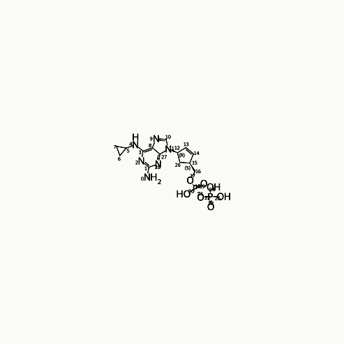 Nc1nc(NC2CC2)c2ncn([C@H]3C=C[C@@H](COP(=O)(O)OP(=O)(O)O)C3)c2n1